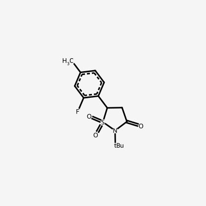 Cc1ccc(C2CC(=O)N(C(C)(C)C)S2(=O)=O)c(F)c1